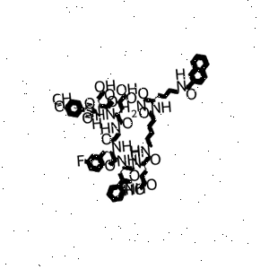 COc1ccc(S(=O)(=O)N[C@H](CC(=O)O)C(=O)N[C@@H](CCC(=O)O)C(=O)NCC(=O)N[C@@H](Cc2cccc(F)c2)C(=O)N[C@@H](Cc2c[nH]c3ccccc23)C(=O)N[C@@H](CCC(=O)O)C(=O)NCCCCCC(=O)N[C@@H](CCCCNC(=O)c2ccc3ccccc3c2)C(N)=O)cc1